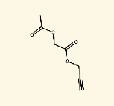 C#CCOC(=O)COC(C)=O